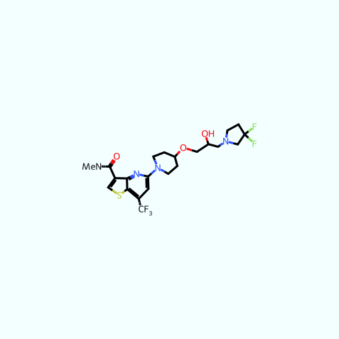 CNC(=O)c1csc2c(C(F)(F)F)cc(N3CCC(OCC(O)CN4CCC(F)(F)C4)CC3)nc12